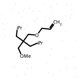 C=CCOCC(COC)(CC(C)C)CC(C)C